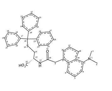 CN(C)c1cccc2c(CC(=O)N[C@@H](CSC(c3ccccc3)(c3ccccc3)c3ccccc3)C(=O)O)cccc12